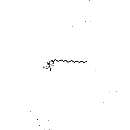 CCCCCCCCCCCCCC(=O)OP(=O)(O)CC